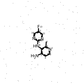 Cc1nccc(N)c1Nc1ncc(F)cn1